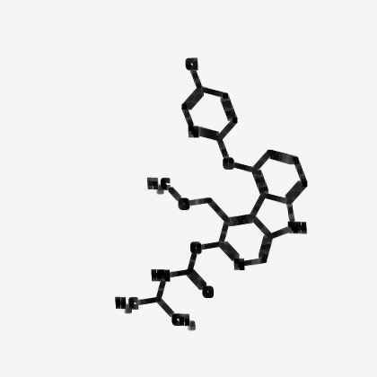 COCc1c(OC(=O)NC(C)C)ncc2[nH]c3cccc(Oc4ccc(Cl)cn4)c3c12